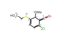 COC1C(=C=O)C(Cl)=CC=C1SCC(=O)O